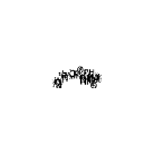 Cc1c(C(=O)N2CCC(c3nc(-c4cccnc4)cs3)CC2)cnn1-c1nn2cccc2c(=O)[nH]1